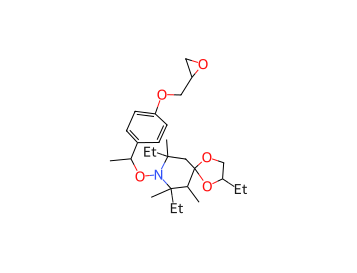 CCC1COC2(CC(C)(CC)N(OC(C)c3ccc(OCC4CO4)cc3)C(C)(CC)C2C)O1